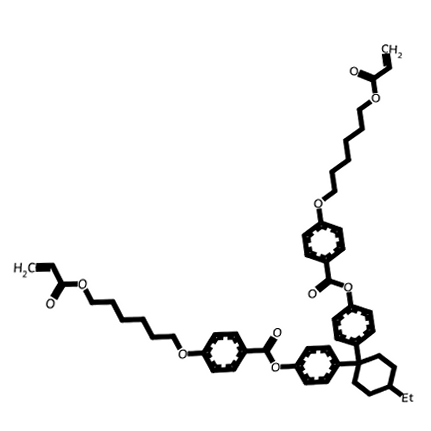 C=CC(=O)OCCCCCCOc1ccc(C(=O)Oc2ccc(C3(c4ccc(OC(=O)c5ccc(OCCCCCCOC(=O)C=C)cc5)cc4)CCC(CC)CC3)cc2)cc1